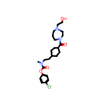 CN(CCC1CCC(C(=O)N2CCCN(CCO)CC2)CC1)C(=O)Oc1ccc(Cl)cc1